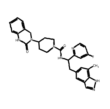 Cc1cc(CC(NC(=O)N2CCC(N3Cc4ccccc4NC3=O)CC2)c2cc(F)ccn2)cc2cn[nH]c12